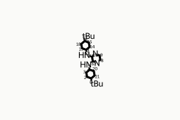 CC(C)(C)c1ccc(Nc2nccnc2Nc2ccc(C(C)(C)C)cc2)cc1